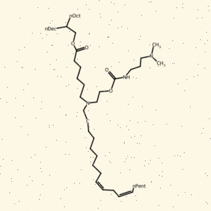 CCCCC/C=C\C/C=C\CCCCCCCCN(CCCCCC(=O)OCC(CCCCCCCC)CCCCCCCCCC)CCOC(=O)NCCCN(C)C